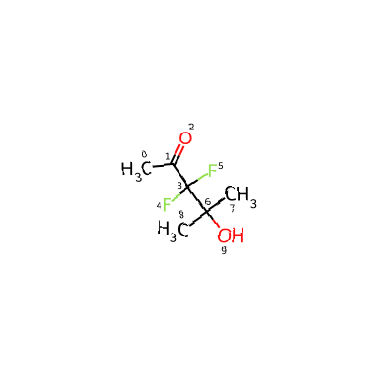 CC(=O)C(F)(F)C(C)(C)O